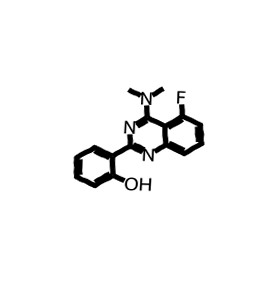 CN(C)c1nc(-c2ccccc2O)nc2cccc(F)c12